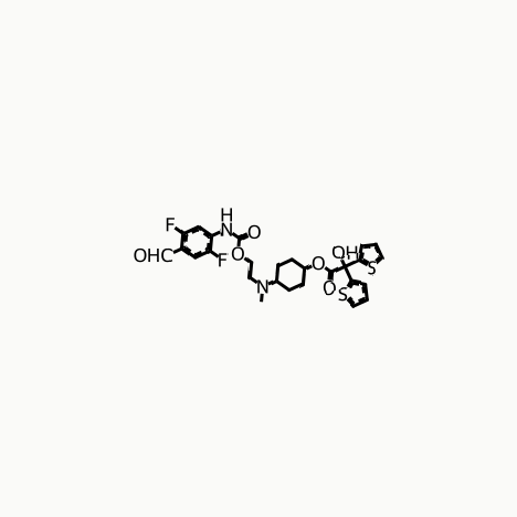 CN(CCOC(=O)Nc1cc(F)c(C=O)cc1F)C1CCC(OC(=O)C(O)(c2cccs2)c2cccs2)CC1